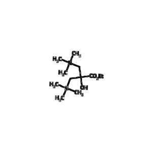 CCOC(=O)C(O)(C[Si](C)(C)C)C[Si](C)(C)C